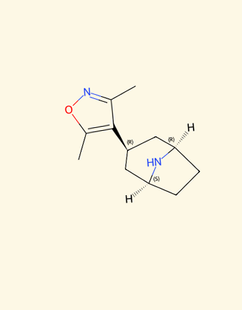 Cc1noc(C)c1[C@H]1C[C@H]2CC[C@@H](C1)N2